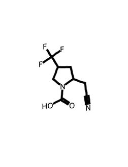 N#CCC1CC(C(F)(F)F)CN1C(=O)O